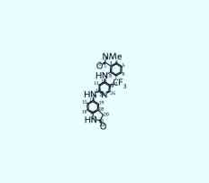 CNC(=O)c1ccccc1Nc1cc(Nc2ccc3c(c2)CC(=O)N3)ncc1C(F)(F)F